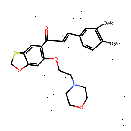 COc1ccc(/C=C/C(=O)c2cc3c(cc2OCCN2CCOCC2)OCS3)cc1OC